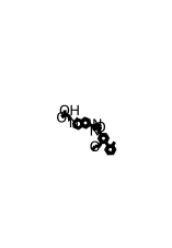 COCc1cc(-c2nc(-c3ccc4c(c3)CCN(CCC(=O)O)C4)no2)ccc1-c1ccccc1C